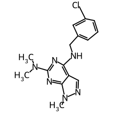 CN(C)c1nc(NCc2cccc(Cl)c2)c2cnn(C)c2n1